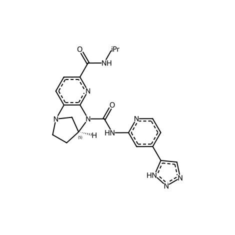 CC(C)NC(=O)c1ccc2c(n1)N(C(=O)Nc1cc(-c3cnn[nH]3)ccn1)[C@H]1CCN2C1